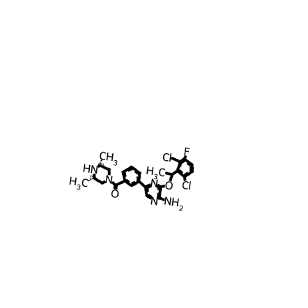 CC(Oc1nc(-c2cccc(C(=O)N3C[C@@H](C)N[C@@H](C)C3)c2)cnc1N)c1c(Cl)ccc(F)c1Cl